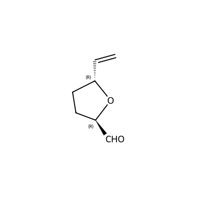 C=C[C@H]1CC[C@H](C=O)O1